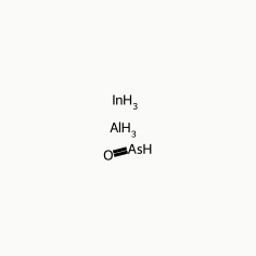 O=[AsH].[AlH3].[InH3]